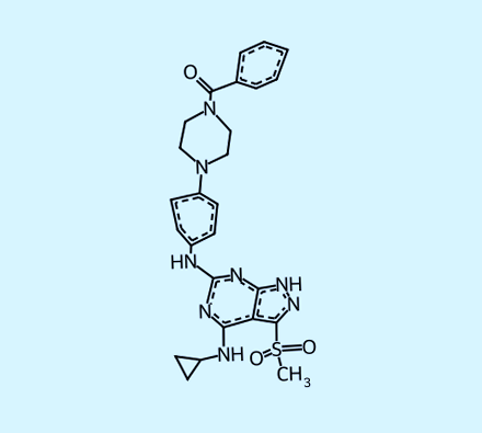 CS(=O)(=O)c1n[nH]c2nc(Nc3ccc(N4CCN(C(=O)c5ccccc5)CC4)cc3)nc(NC3CC3)c12